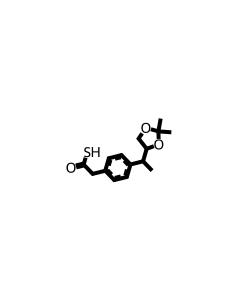 CC(c1ccc(CC(=O)S)cc1)C1COC(C)(C)O1